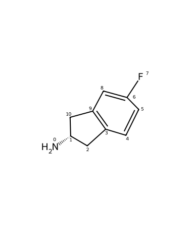 N[C@H]1Cc2ccc(F)cc2C1